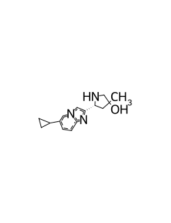 CC1(O)CN[C@@H](c2cn3cc(C4CC4)ccc3n2)C1